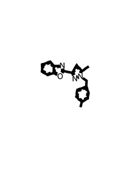 Cc1ccc(Cn2nc(-c3nc4ccccc4o3)cc2C)cc1